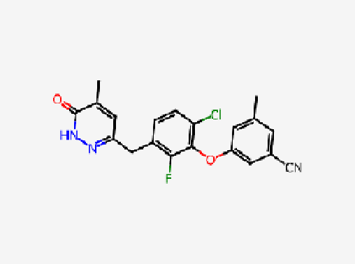 Cc1cc(C#N)cc(Oc2c(Cl)ccc(Cc3cc(C)c(=O)[nH]n3)c2F)c1